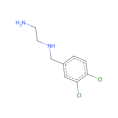 NCCNCc1ccc(Cl)c(Cl)c1